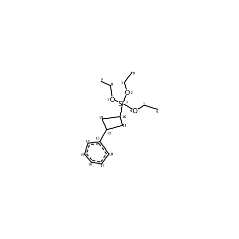 CCO[Si](OCC)(OCC)C1CC(c2ccccc2)C1